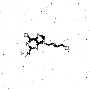 Nc1nc(Cl)c2ncn(CC=CCCl)c2n1